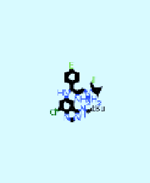 CC(C)(C)CNc1ncnc2c(Cl)cc(NC(/C(N)=C/N(N)C3(CF)CC3)c3ccc(F)cc3)cc12